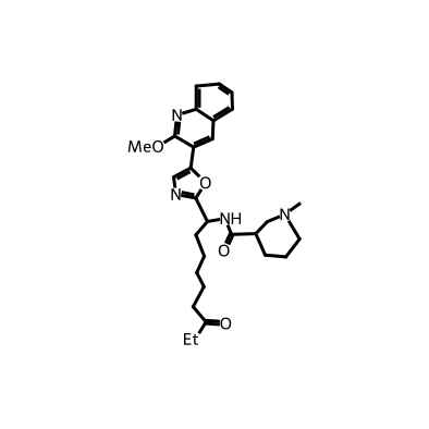 CCC(=O)CCCCCC(NC(=O)C1CCCN(C)C1)c1ncc(-c2cc3ccccc3nc2OC)o1